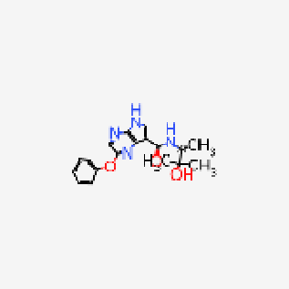 C[C@H](NC(=O)c1c[nH]c2ncc(Oc3ccccc3)nc12)C(C)(C)O